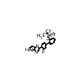 CC(NSc1ccccc1-c1ccc(-c2cnc3[nH]ccc3n2)c(F)c1)C(F)(F)F